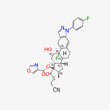 C[C@@H]1C[C@H]2[C@@H]3CCC4=Cc5c(cnn5-c5ccc(F)cc5)C[C@]4(C)[C@@]3(F)[C@@H](O)C[C@]2(C)[C@@]1(OC(=O)c1cocn1)C(=O)SCC#N